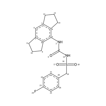 O=C(Nc1c2c(cc3c1CCC3)CCC2)NS(=O)(=O)Cc1ccc(F)cc1